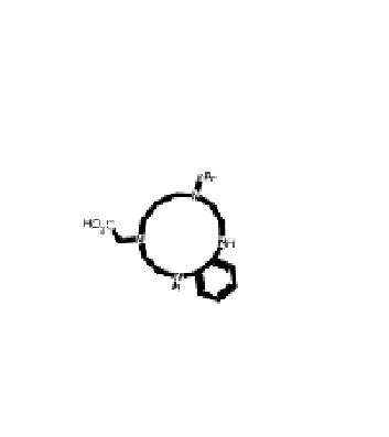 CCCN1CCCN(CC(=O)O)CCNc2ccccc2NCC1